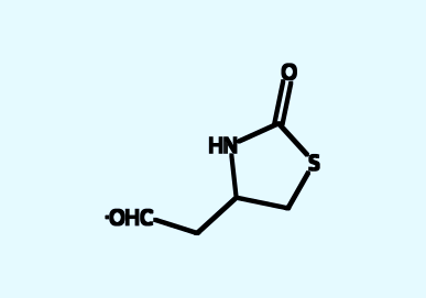 O=[C]CC1CSC(=O)N1